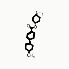 CC1CC=C(c2ccc(C(=O)O[C@H]3CC[C@H](C)CC3)cc2)CC1